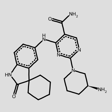 NC(=O)c1cnc(N2CCC[C@H](N)C2)nc1Nc1ccc2c(c1)C1(CCCCC1)C(=O)N2